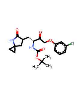 CC(C)(C)OC(=O)N[C@H](CC1CC2(CC2)NC1=O)C(=O)COc1cccc(Cl)c1